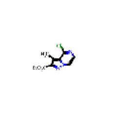 CCOC(=O)c1nn2ccnc(Cl)c2c1C